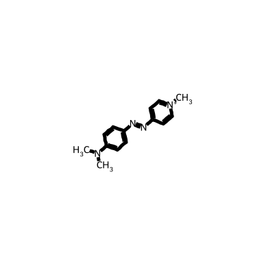 CN(C)c1ccc(N=Nc2cc[n+](C)cc2)cc1